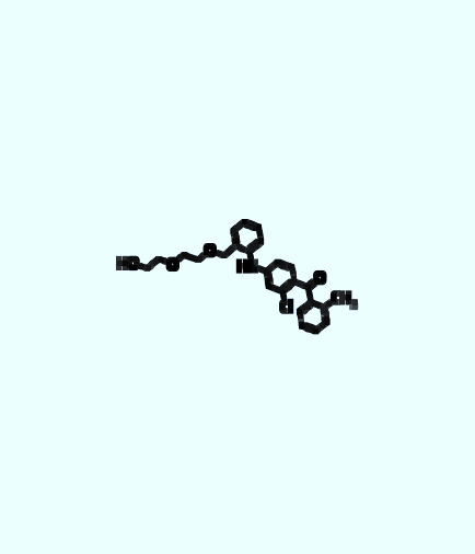 Cc1ccccc1C(=O)c1ccc(Nc2ccccc2COCCOCCO)cc1Cl